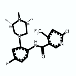 C[C@@H]1CN(c2cc(F)ccc2NC(=O)c2cnc(Cl)cc2C(F)(F)F)C[C@H](C)N1C